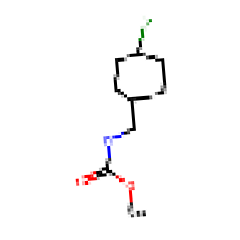 CCCCOC(=O)NCC1CCC(Br)CC1